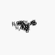 CC1CN2c3nc(OCC4CC[C@H]5COCCN45)nc4c(F)c(Cl)nc(c34)O[C@@H](C)[C@@H]2CN1C(=O)OC(C)(C)C